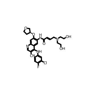 N#Cc1cnc2cc(O[C@H]3CCOC3)c(NC(=O)/C=C/CN(CCO)CCO)cc2c1Nc1ccc(F)c(Cl)c1